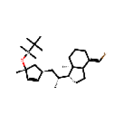 C[C@H](C[C@H]1C=C[C@](C)(O[Si](C)(C)C(C)(C)C)C1)[C@H]1CCC2C(=CBr)CCC[C@@]21C